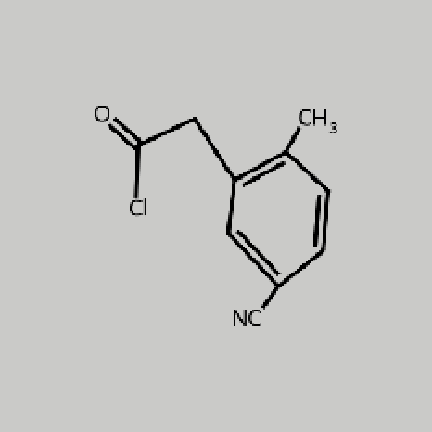 Cc1ccc(C#N)cc1CC(=O)Cl